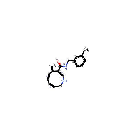 C=C1/C=C\C=C/CN/C=C\1C(=O)NCc1cccc(C)c1